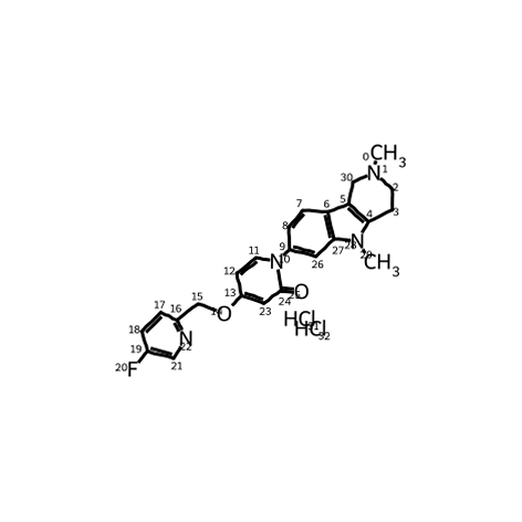 CN1CCc2c(c3ccc(-n4ccc(OCc5ccc(F)cn5)cc4=O)cc3n2C)C1.Cl.Cl